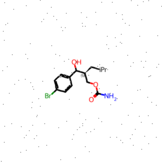 CC(C)C[C@@H](COC(N)=O)C(O)c1ccc(Br)cc1